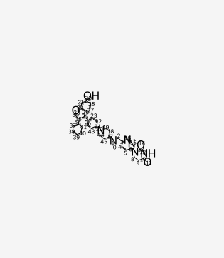 CN(Cc1ccc(N2CCC(=O)NC2=O)nn1)C1CCN(c2ccc(C3c4ccc(O)cc4OCC3c3ccccc3)cc2)CC1